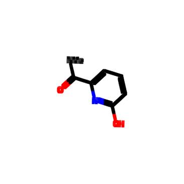 CNC(=O)c1cccc(O)n1